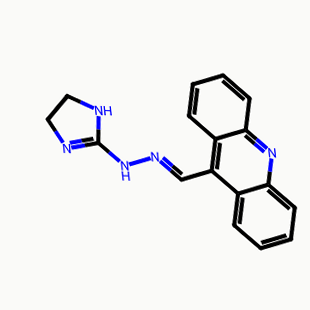 C(=N\NC1=NCCN1)/c1c2ccccc2nc2ccccc12